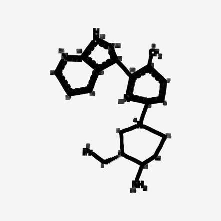 CC(C)C[C@@H]1CN(c2ccc(C(F)(F)F)c(-c3n[nH]c4ncccc34)n2)CCC1N